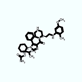 COc1ccc(C)c(NCC[C@@H]2CNCCN2C(=O)c2ncn([C@H]3CCCC[C@]3(OC(N)=O)C(C)C)c2-c2ccccc2)c1